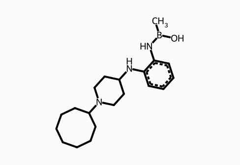 CB(O)Nc1ccccc1NC1CCN(C2CCCCCCC2)CC1